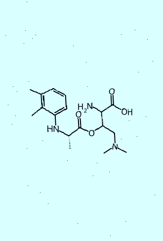 Cc1cccc(N[C@@H](C)C(=O)OC(CN(C)C)C(N)C(=O)O)c1C